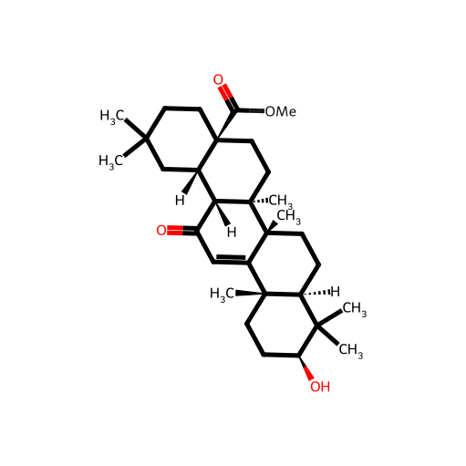 COC(=O)[C@]12CCC(C)(C)C[C@H]1[C@H]1C(=O)C=C3[C@@]4(C)CC[C@H](O)C(C)(C)[C@@H]4CC[C@@]3(C)[C@]1(C)CC2